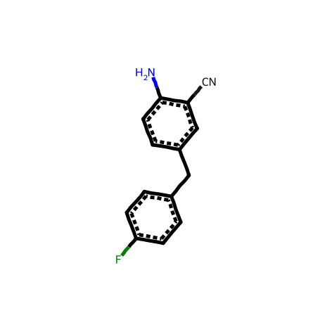 N#Cc1cc(Cc2ccc(F)cc2)ccc1N